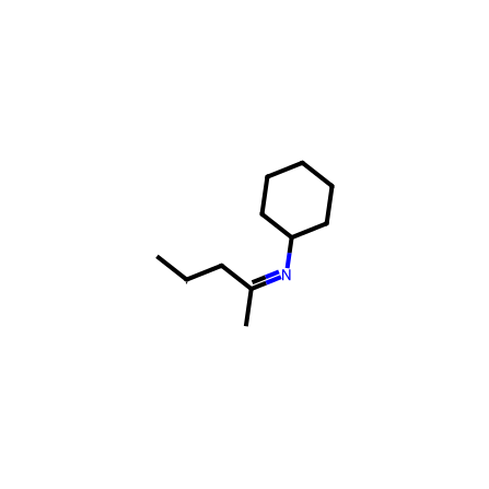 C[CH]CC(C)=NC1CCCCC1